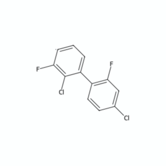 Fc1[c]ccc(-c2ccc(Cl)cc2F)c1Cl